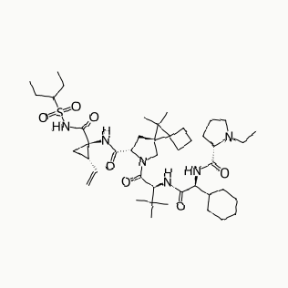 C=C[C@@H]1C[C@]1(NC(=O)[C@@H]1C[C@@]2(CN1C(=O)[C@@H](NC(=O)[C@@H](NC(=O)[C@@H]1CCCN1CC)C1CCCCC1)C(C)(C)C)C(C)(C)C21CCC1)C(=O)NS(=O)(=O)C(CC)CC